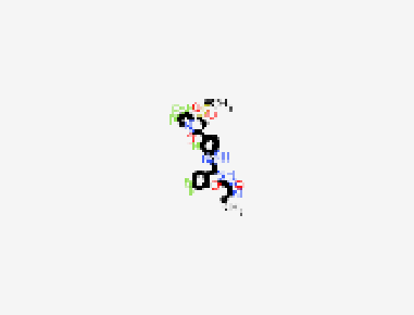 CCc1nonc1C(=O)NC(c1nc2c(F)c([C@H](CCS(=O)(=O)CC)C(=O)N3CC(F)(F)C(F)(F)C3)ccc2[nH]1)C1CCC(F)(F)CC1